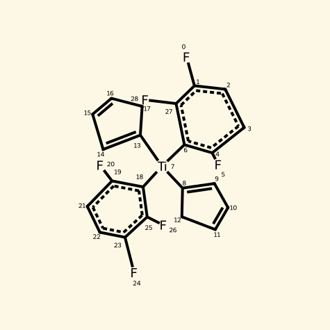 Fc1ccc(F)[c]([Ti]([C]2=CC=CC2)([C]2=CC=CC2)[c]2c(F)ccc(F)c2F)c1F